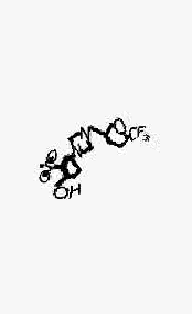 CS(=O)(=O)c1cc(N2CCN(CC3CCC(C(F)(F)F)OC3)CC2)ccc1CO